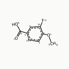 COc1cnc(C(=O)O)cc1F